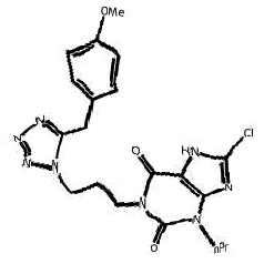 CCCn1c(=O)n(CCCn2nnnc2Cc2ccc(OC)cc2)c(=O)c2[nH]c(Cl)nc21